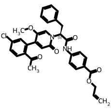 C=CCOC(=O)c1ccc(NC(=O)[C@H](Cc2ccccc2)n2cc(OC)c(-c3cc(Cl)ccc3C(C)=O)cc2=O)cc1